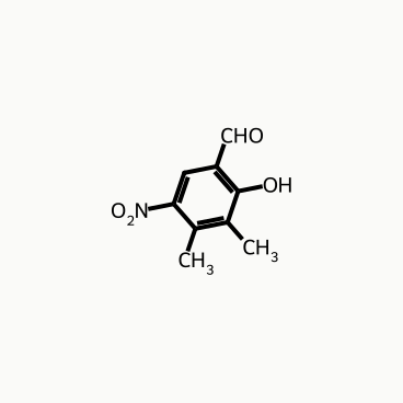 Cc1c([N+](=O)[O-])cc(C=O)c(O)c1C